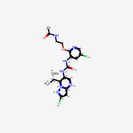 CCC(=O)NCCOc1ncc(Cl)cc1NC(=O)Nc1cnc2cc(Cl)nn2c1[C@H](C)OC